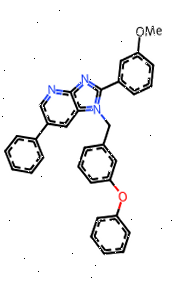 COc1cccc(-c2nc3ncc(-c4ccccc4)cc3n2Cc2cccc(Oc3ccccc3)c2)c1